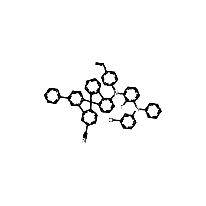 C=Cc1ccc(N(c2cccc(N(c3ccccc3)c3cccc(Cl)c3)c2F)c2cccc3c2-c2ccccc2C32c3ccc(C#N)cc3-c3cc(-c4ccccc4)ccc32)cc1